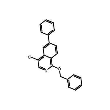 Clc1cnc(OCc2ccccc2)c2ccc(-c3ccccc3)cc12